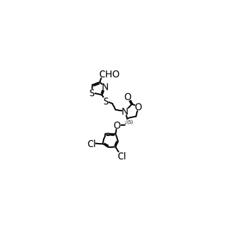 O=Cc1csc(SCCN2C(=O)OC[C@@H]2COc2cc(Cl)cc(Cl)c2)n1